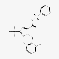 Cc1cccc(C)c1Cn1nc(C(C)(C)C)cc1C(=O)NS(=O)(=O)c1ccccc1